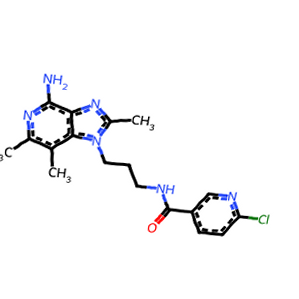 Cc1nc(N)c2nc(C)n(CCCNC(=O)c3ccc(Cl)nc3)c2c1C